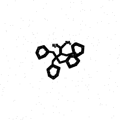 NC(N)=C(Cc1ccccc1)C(Cc1ccccc1)(Cc1ccccc1)Cc1ccccc1